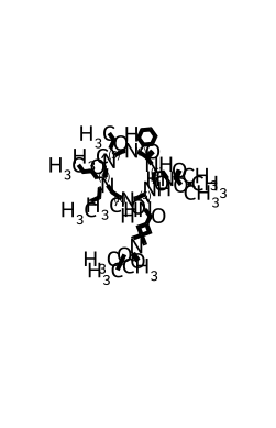 CCCC[C@H]1C(=O)N(C)[C@@H](CCC)C(=O)N[C@@H](C2CCCCC2)C(=O)N[C@@H](CNC(=O)OC(C)(C)C)C(=O)N[C@@H](CNC(=O)C2CC3(C2)CN(C(=O)OC(C)(C)C)C3)C(=O)N[C@H](C)CN1CCCC